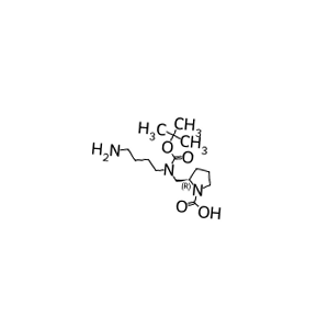 CC(C)(C)OC(=O)N(CCCCN)C[C@H]1CCCN1C(=O)O